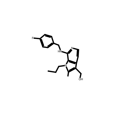 CCCn1c(C)c(CO)c2ccnc(NCc3ccc(F)cc3)c21